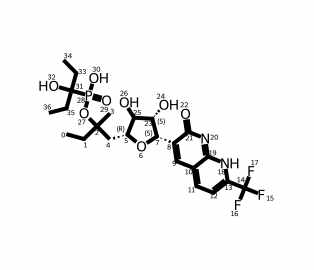 CCC(C)(C[C@H]1O[C@@H](c2cc3ccc(C(F)(F)F)[nH]c-3nc2=O)[C@@H](O)C1O)OP(=O)(O)C(O)(CC)CC